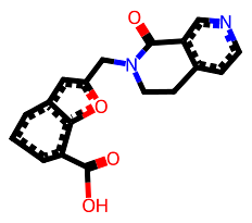 O=C(O)c1cccc2cc(CN3CCc4ccncc4C3=O)oc12